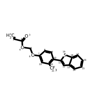 C=CC(=O)OCOc1ccc(-c2cc3ccccc3s2)c(C(F)(F)F)c1